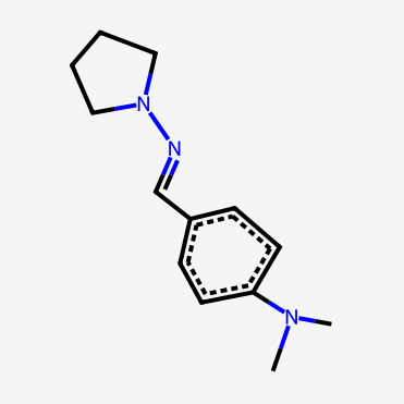 CN(C)c1ccc(C=NN2CCCC2)cc1